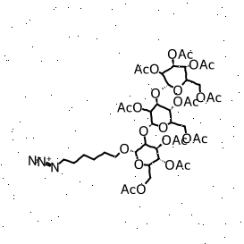 CC(=O)OCC1O[C@H](O[C@@H]2C(OC(C)=O)[C@@H](OC3[C@@H](OCCCCCCN=[N+]=[N-])OC(COC(C)=O)[C@@H](OC(C)=O)[C@@H]3OC(C)=O)OC(COC(C)=O)[C@H]2OC(C)=O)C(OC(C)=O)[C@@H](OC(C)=O)[C@@H]1OC(C)=O